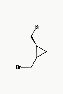 BrCC1C[C@@H]1CBr